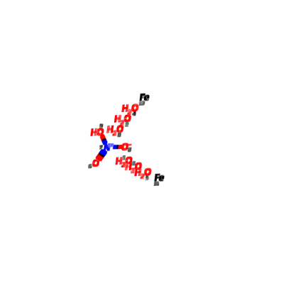 O.O.O.O.O.O.O=[N+]([O-])O.[Fe].[Fe]